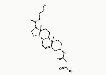 CC(C)CCCC(C)C1CCC2C3CC=C4CC(OC(=O)CC(=O)C(C)C)CCC4(C)C3CCC12C